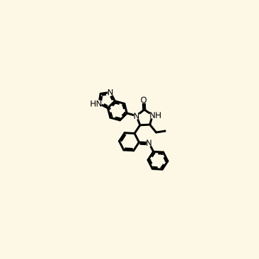 CCC1NC(=O)N(c2ccc3[nH]cnc3c2)C1C1C=CC=CC1=Nc1ccccc1